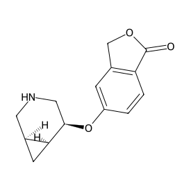 O=C1OCc2cc(O[C@@H]3CNC[C@@H]4C[C@@H]43)ccc21